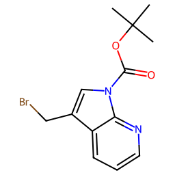 CC(C)(C)OC(=O)n1cc(CBr)c2cccnc21